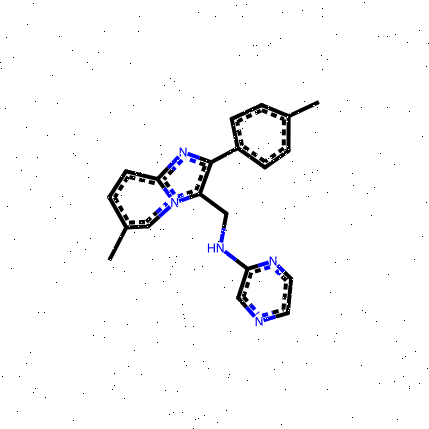 Cc1ccc(-c2nc3ccc(C)cn3c2CNc2cnccn2)cc1